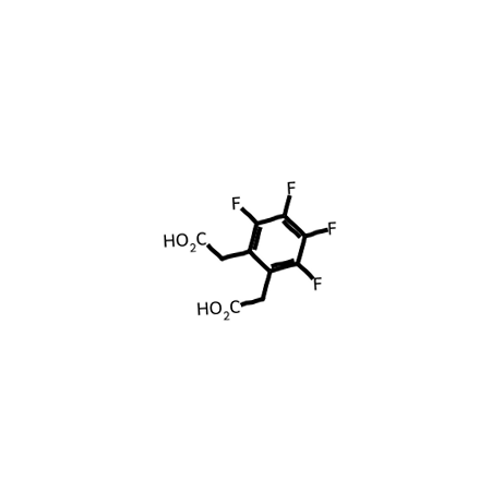 O=C(O)Cc1c(F)c(F)c(F)c(F)c1CC(=O)O